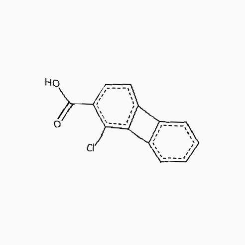 O=C(O)c1ccc2c(c1Cl)-c1ccccc1-2